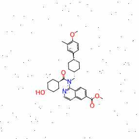 COC(=O)c1ccc2c(N(C[C@H]3CC[C@H](c4ccc(OC)c(C)c4)CC3)C(=O)[C@H]3CC[C@H](O)CC3)nccc2c1